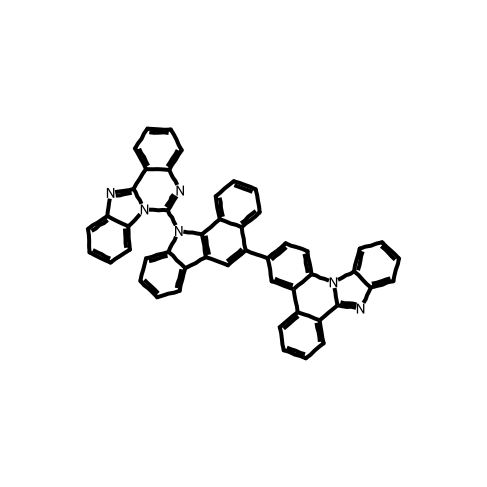 c1ccc2c(c1)nc(-n1c3ccccc3c3cc(-c4ccc5c(c4)c4ccccc4c4nc6ccccc6n54)c4ccccc4c31)n1c3ccccc3nc21